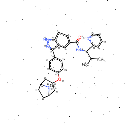 CC(C)C(NC(=O)c1ccc2[nH]nc(-c3ccc(OC4CC5CCC(C4)N5C)cc3)c2c1)c1ccccn1